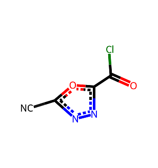 N#Cc1nnc(C(=O)Cl)o1